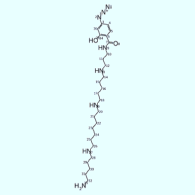 [N-]=[N+]=Nc1ccc(C(=O)NCCCNCCCCCNCCCCCCCNCCCCCN)c(O)c1